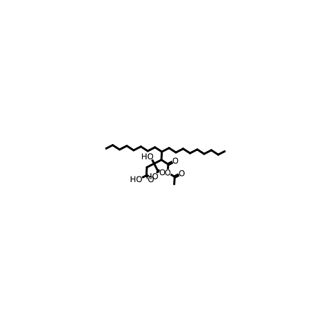 CCCCCCCCCC(CCCCCCCC)C(C(=O)OC(C)=O)C(O)(CC(=O)O)C(=O)O